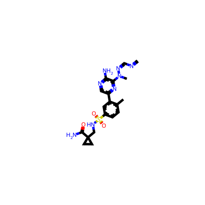 C=N/C=N\N(C)c1nc(-c2cc(S(=O)(=O)NCC3(C(N)=O)CC3)ccc2C)cnc1N